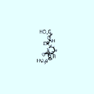 O=C(O)CONC(=O)[C@@H]1CC[C@@H]2CN1C(=O)N2OS(=O)(=O)O